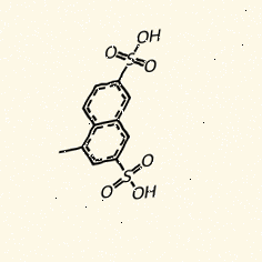 Cc1cc(S(=O)(=O)O)cc2cc(S(=O)(=O)O)ccc12